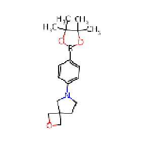 CC1(C)OB(c2ccc(N3CCC4(COC4)C3)cc2)OC1(C)C